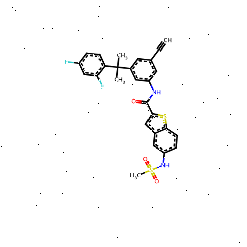 C#Cc1cc(NC(=O)c2cc3cc(NS(C)(=O)=O)ccc3s2)cc(C(C)(C)c2ccc(F)cc2F)c1